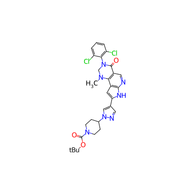 CN1CN(c2c(Cl)cccc2Cl)C(=O)c2cnc3[nH]c(-c4cnn(C5CCN(C(=O)OC(C)(C)C)CC5)c4)cc3c21